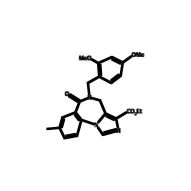 CCOC(=O)c1ncn2c1CN(Cc1ccc(OC)cc1OC)C(=O)c1cc(C)ccc1-2